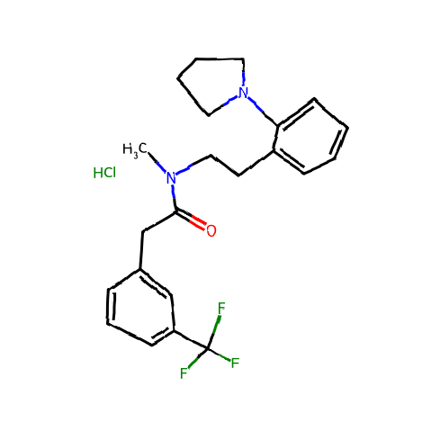 CN(CCc1ccccc1N1CCCC1)C(=O)Cc1cccc(C(F)(F)F)c1.Cl